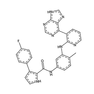 Cc1ccc(NC(=O)c2[nH]ccc2-c2ccc(F)cc2)cc1Nc1ncccc1-c1ncnc2[nH]cnc12